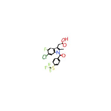 Cc1c(CC(=O)O)c2cc(F)c(Cl)cc2n1C(=O)c1ccc(SC(F)(F)F)cc1